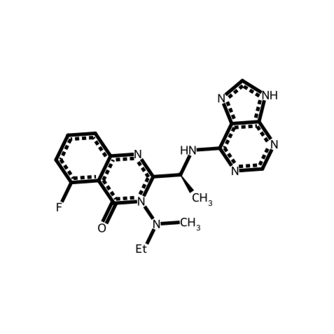 CCN(C)n1c([C@H](C)Nc2ncnc3[nH]cnc23)nc2cccc(F)c2c1=O